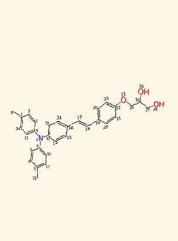 Cc1ccc(N(c2ccc(C)cc2)c2ccc(C=Cc3ccc(OCC(O)CO)cc3)cc2)cc1